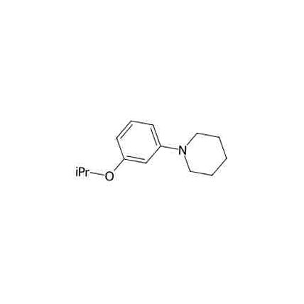 CC(C)Oc1cccc(N2CCCCC2)c1